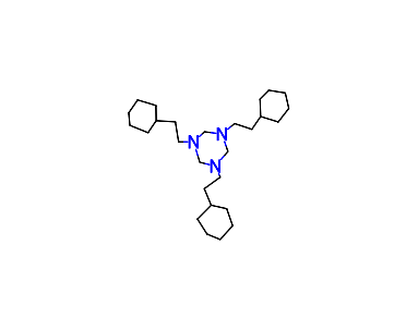 C1CCC(CCN2CN(CCC3CCCCC3)CN(CCC3CCCCC3)C2)CC1